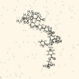 Cc1c(C(=O)NS(C)(=O)=O)c(-c2cccc(N3CCN(c4ccc(NS(=O)(=O)c5ccc(N[C@H](CCN6CCC(C(=O)OCCP(=O)(O)O)CC6)CSc6ccccc6)c(S(=O)(=O)C(F)(F)F)c5)cc4)CC3)c2)c(-c2ccc(Cl)cc2)n1C(C)C